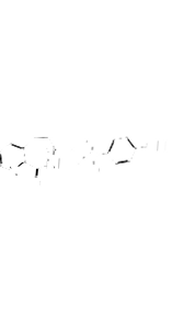 Cc1ccc(S(=O)(=O)OC[C@H]2CCc3cccnc3C(=O)N2)cc1